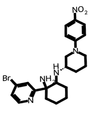 NC1(c2cc(Br)ccn2)CCCCC1N[C@H]1CCCN(c2ccc([N+](=O)[O-])cc2)C1